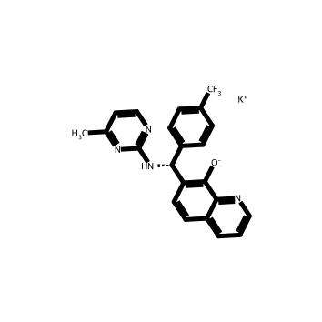 Cc1ccnc(N[C@H](c2ccc(C(F)(F)F)cc2)c2ccc3cccnc3c2[O-])n1.[K+]